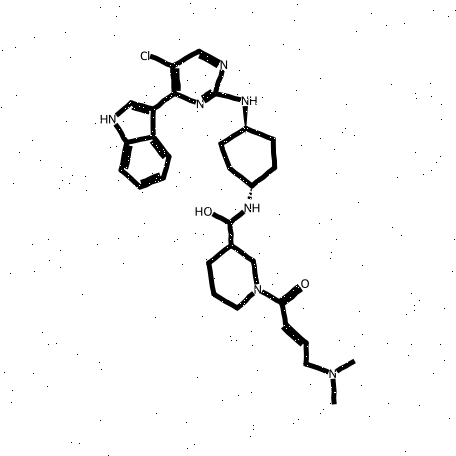 CN(C)C/C=C/C(=O)N1CCCC(C(O)N[C@H]2CC[C@H](Nc3ncc(Cl)c(-c4c[nH]c5ccccc45)n3)CC2)C1